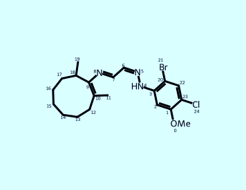 COc1cc(N\N=C/C=N/C2=C(\C)CCCCCCC2C)c(Br)cc1Cl